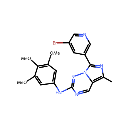 COc1cc(Nc2ncc3c(C)nc(-c4cncc(Br)c4)n3n2)cc(OC)c1OC